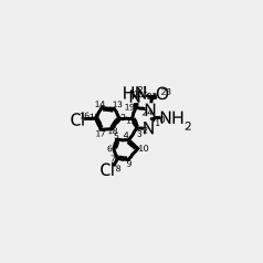 Nc1nc(-c2ccc(Cl)cc2)c(-c2ccc(Cl)cc2)c2n[nH]c(=O)n12